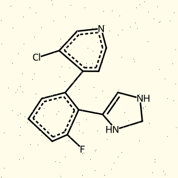 Fc1cccc(-c2ccncc2Cl)c1C1=CNCN1